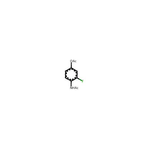 CC(=O)Nc1ccc(OC(C)=O)cc1F